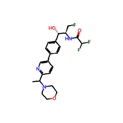 CC(c1ccc(-c2ccc([C@H](O)[C@@H](CF)NC(=O)C(F)F)cc2)cn1)N1CCOCC1